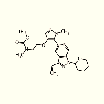 C=Cc1nn(C2CCCCO2)c2cnc(-c3c(OCCN(C)C(=O)OC(C)(C)C)cnn3C)cc12